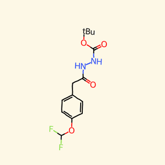 CC(C)(C)OC(=O)NNC(=O)Cc1ccc(OC(F)F)cc1